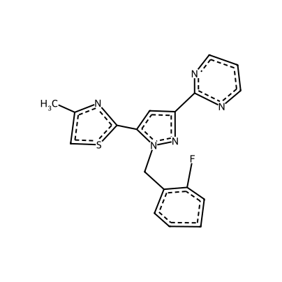 Cc1csc(-c2cc(-c3ncccn3)nn2Cc2ccccc2F)n1